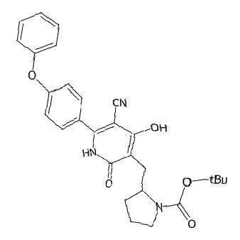 CC(C)(C)OC(=O)N1CCCC1Cc1c(O)c(C#N)c(-c2ccc(Oc3ccccc3)cc2)[nH]c1=O